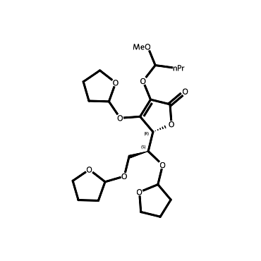 CCCC(OC)OC1=C(OC2CCCO2)[C@@H]([C@H](COC2CCCO2)OC2CCCO2)OC1=O